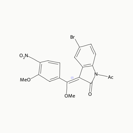 CO/C(=C1\C(=O)N(C(C)=O)c2ccc(Br)cc21)c1ccc([N+](=O)[O-])c(OC)c1